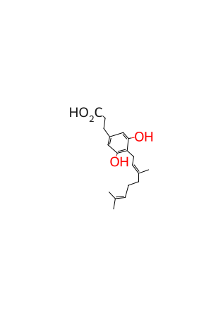 CC(C)=CCC/C(C)=C/Cc1c(O)cc(CCC(=O)O)cc1O